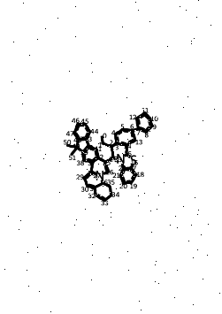 CCC1c2ccc(-c3ccccc3)cc2C2Sc3ccccc3N2C1C1=CN2C(=CC=C3C=CCCC32)c2cc3c(cc21)-c1ccccc1C3(C)C